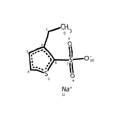 CCc1ccsc1S(=O)(=O)[O-].[Na+]